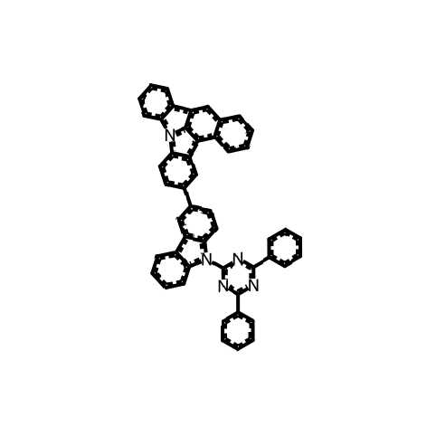 c1ccc(-c2nc(-c3ccccc3)nc(-n3c4ccccc4c4cc(-c5ccc6c(c5)c5c7ccccc7cc7c8ccccc8n6c75)ccc43)n2)cc1